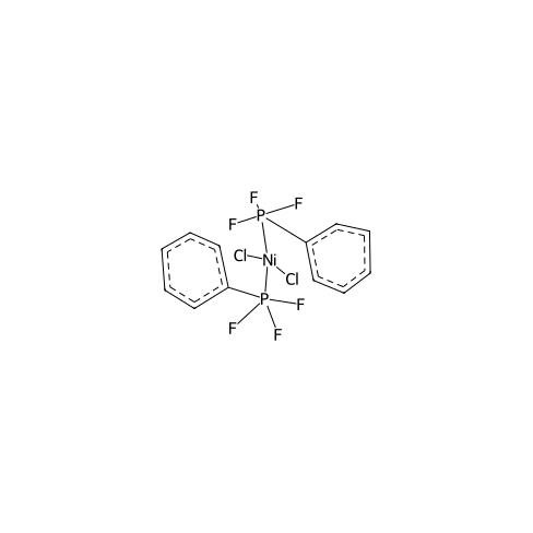 F[P](F)(F)(c1ccccc1)[Ni]([Cl])([Cl])[P](F)(F)(F)c1ccccc1